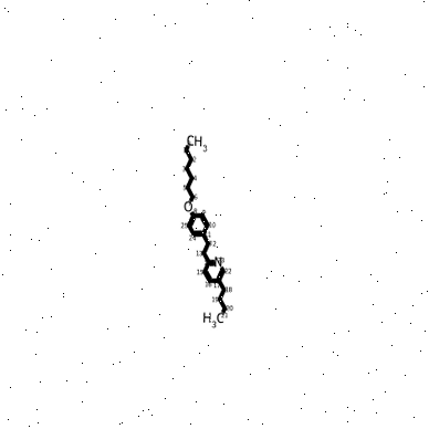 CCCCCCCOc1ccc(CCc2ccc(CCCC)cn2)cc1